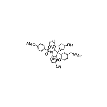 CNCc1ccc(OC)c(C2(N3C[C@H](O)C[C@H]3c3ncco3)C(=O)N(S(=O)(=O)c3ccc(OC)cc3)c3ccc(C#N)cc32)c1